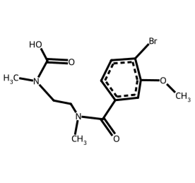 COc1cc(C(=O)N(C)CCN(C)C(=O)O)ccc1Br